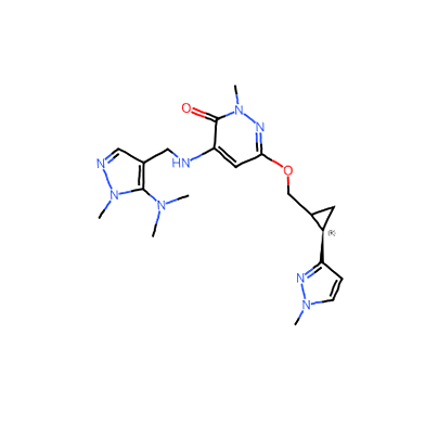 CN(C)c1c(CNc2cc(OCC3C[C@H]3c3ccn(C)n3)nn(C)c2=O)cnn1C